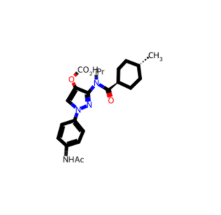 CC(=O)Nc1ccc(-n2cc(OC(=O)O)c(N(C(=O)[C@H]3CC[C@H](C)CC3)C(C)C)n2)cc1